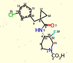 O=C(O)N1CC[C@H](NC(=O)C2(Cc3cccc(Cl)c3)CC2)[C@@H](F)C1